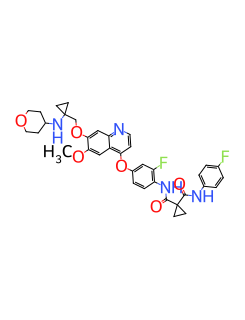 COc1cc2c(Oc3ccc(NC(=O)C4(C(=O)Nc5ccc(F)cc5)CC4)c(F)c3)ccnc2cc1OCC1(NC2CCOCC2)CC1